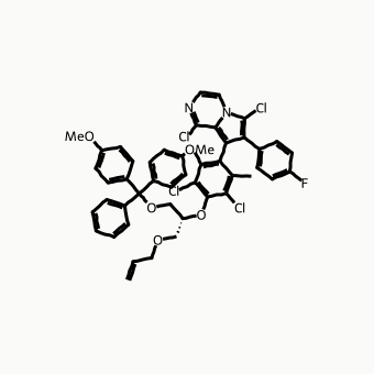 C=CCOC[C@H](COC(c1ccccc1)(c1ccc(OC)cc1)c1ccc(OC)cc1)Oc1c(Cl)c(C)c(-c2c(-c3ccc(F)cc3)c(Cl)n3ccnc(Cl)c23)c(C)c1Cl